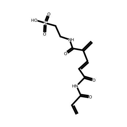 C=CC(=O)NC(=O)C=CC(=C)C(=O)NCCS(=O)(=O)O